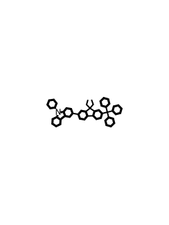 CCC1(CC)c2cc(-c3ccc4c(c3)c3ccccc3n4-c3ccccc3)ccc2-c2ccc(C(c3ccccc3)(c3ccccc3)c3ccccc3)cc21